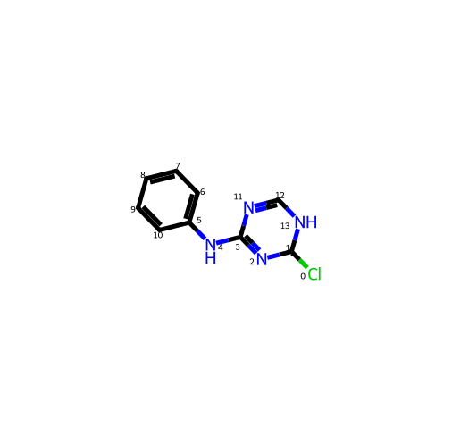 Cl[C]1N=C(Nc2ccccc2)N=CN1